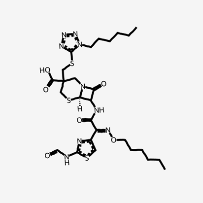 CCCCCCON=C(C(=O)NC1C(=O)N2CC(CSc3nnnn3CCCCCC)(C(=O)O)CS[C@H]12)c1csc(NC=O)n1